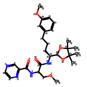 COCC(NC(=O)c1cnccn1)C(=O)N[C@@H](CCCc1cccc(OC)c1)B1OC(C)(C)C(C)(C)O1